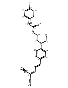 [C-]#[N+]/C(C#N)=C\C=C\c1ccc(N(CC)CCOC(=O)Nc2ccc(C)cc2)cc1